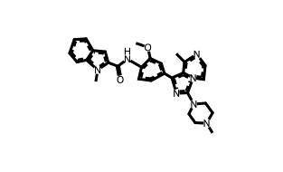 COc1cc(-c2nc(N3CCN(C)CC3)n3ccnc(C)c23)ccc1NC(=O)c1cc2ccccc2n1C